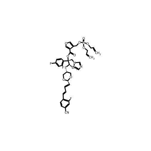 C=CCOP(=O)(OCC=C)OCc1cocc1C(=O)O[C@@](Cn1cncn1)(c1ccc(F)cc1F)[C@@H](C)S[C@H]1CO[C@H](C=CC=Cc2ccc(C#N)cc2F)OC1